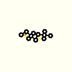 c1ccc(-c2c3ccccc3c(-c3cccc4c3sc3cccc(-c5c6ccccc6c(-c6cccc7c6sc6ccccc67)c6ccccc56)c34)c3ccccc23)cc1